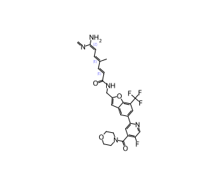 C=N\C(N)=C/C=C(C)/C=C/C(=O)NCc1cc2cc(-c3cc(C(=O)N4CCOCC4)c(F)cn3)cc(C(F)(F)F)c2o1